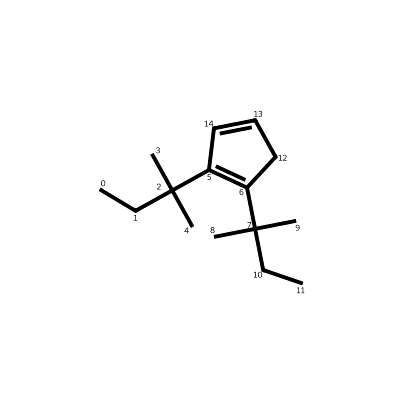 CCC(C)(C)C1=C(C(C)(C)CC)CC=C1